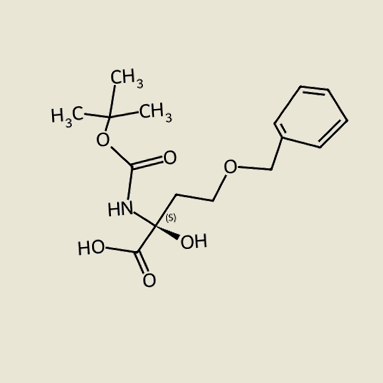 CC(C)(C)OC(=O)N[C@](O)(CCOCc1ccccc1)C(=O)O